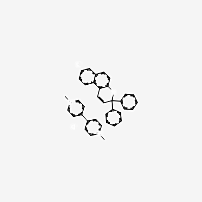 C1=CC(c2ccccc2)(c2ccccc2)Oc2ccc3ccccc3c21.C[n+]1ccc(-c2cc[n+](C)cc2)cc1.[Cl-].[Cl-]